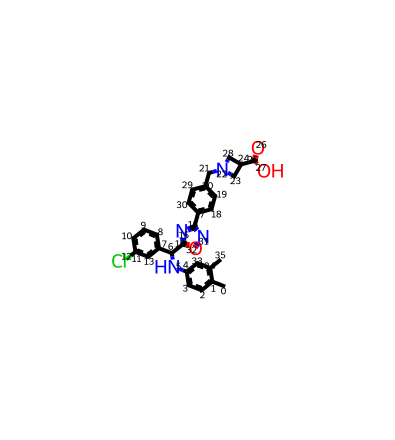 Cc1ccc(NC(c2cccc(Cl)c2)c2nc(-c3ccc(CN4CC(C(=O)O)C4)cc3)no2)cc1C